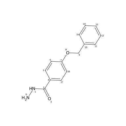 NNC(=O)c1ccc(OCc2ccccc2)cc1